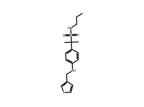 CCCNS(=O)(=O)C(C)(C)c1ccc(NCc2ccsc2)cc1